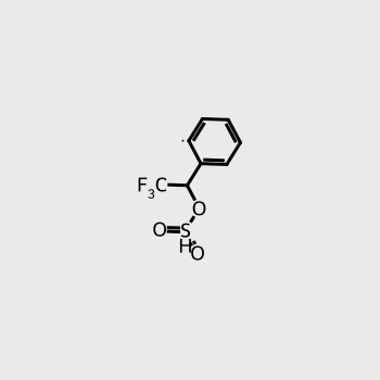 O=[SH](=O)OC(c1[c]cccc1)C(F)(F)F